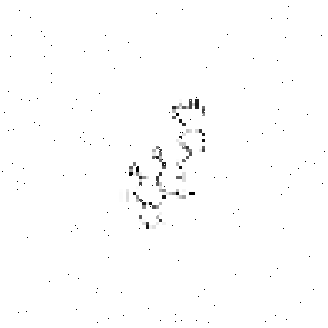 CSc1cccc(NC(=O)c2c(O)c3sccc3[nH]c2=O)c1